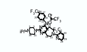 CC(C)N1CCN(c2nc3c(c(N(OC(=O)C(F)(F)F)c4ccc(C(F)(F)F)cc4)n2)CCN(c2ncccc2C(F)(F)F)CC3)CC1